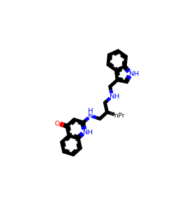 CCCC(CNCc1c[nH]c2ccccc12)CNc1cc(=O)c2ccccc2[nH]1